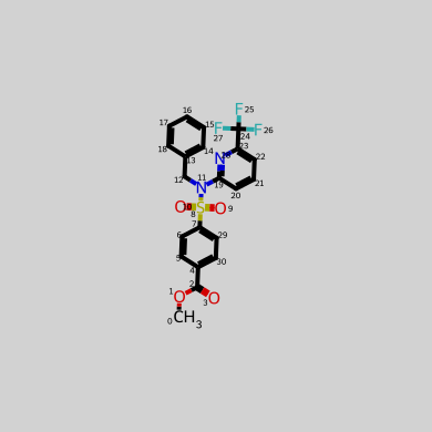 COC(=O)c1ccc(S(=O)(=O)N(Cc2ccccc2)c2cccc(C(F)(F)F)n2)cc1